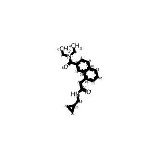 CCN(CC)C(=O)c1ccc2cccc(CC(=O)NCC3CC3)c2c1